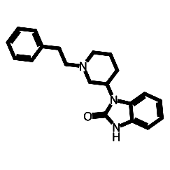 O=c1[nH]c2ccccc2n1C1CCCN(CCc2ccccc2)C1